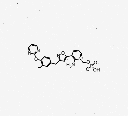 Nc1c(-c2cc(Cc3ccc(Oc4ncccn4)c(F)c3)no2)ccc[n+]1COP(=O)([O-])O